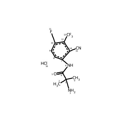 CC(C)(N)C(=O)Nc1ccc(F)c(C(F)(F)F)c1C#N.Cl